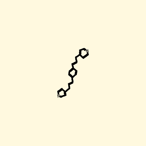 C(=Cc1ccc(C=CCc2ccncc2)cc1)Cc1ccncc1